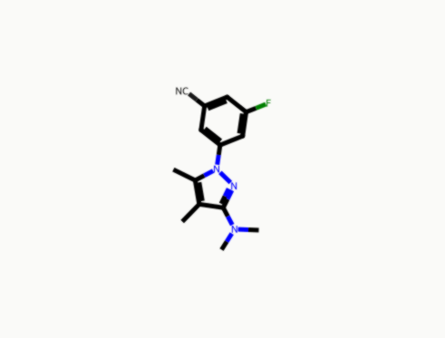 Cc1c(N(C)C)nn(-c2cc(F)cc(C#N)c2)c1C